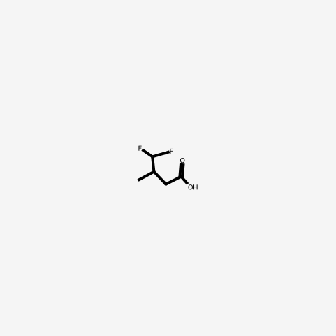 CC(CC(=O)O)C(F)F